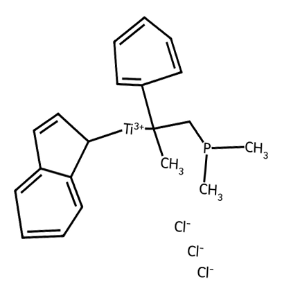 CP(C)C[C](C)([Ti+3][CH]1C=Cc2ccccc21)c1ccccc1.[Cl-].[Cl-].[Cl-]